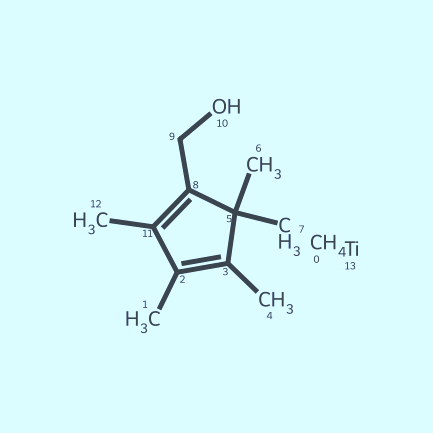 C.CC1=C(C)C(C)(C)C(CO)=C1C.[Ti]